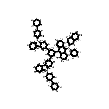 c1ccc(-c2ccc(-n3c4ccccc4c4cc(-c5cc(-c6ccc7c(c6)c6ccccc6n7-c6ccc(-c7ccccc7)cc6)cc(-c6c7ccccc7c(N(c7ccccc7)c7ccc8ccccc8c7)c7ccccc67)c5)ccc43)cc2)cc1